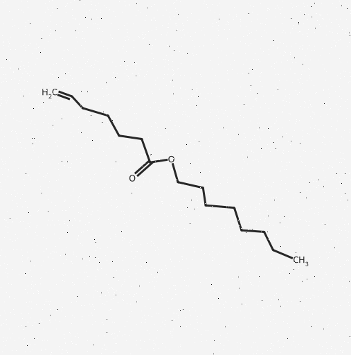 C=CCCCCC(=O)OCCCCCCCC